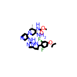 COC(=O)N[C@@H]1[C@H](N)CN(c2ccncc2Nc2ncc3ccc(-c4c(F)cc(OC(C)C)cc4F)nn23)C[C@@H]1C